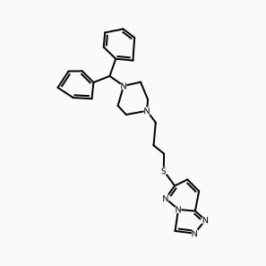 c1ccc(C(c2ccccc2)N2CCN(CCCSc3ccc4nncn4n3)CC2)cc1